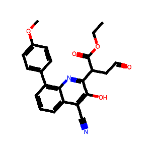 CCOC(=O)C(CC=O)c1nc2c(-c3ccc(OC)cc3)cccc2c(C#N)c1O